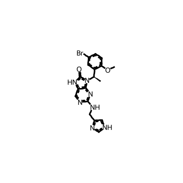 COc1ccc(Br)cc1[C@@H](C)n1c(=O)[nH]c2cnc(NCc3c[nH]cn3)nc21